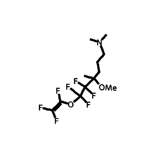 COC(C)(CCCN(C)C)C(F)(F)C(F)(F)OC(F)=C(F)F